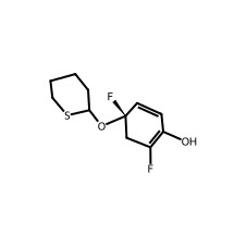 OC1=C(F)C[C@](F)(OC2CCCCS2)C=C1